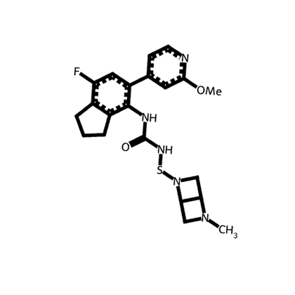 COc1cc(-c2cc(F)c3c(c2NC(=O)NSN2CC4C2CN4C)CCC3)ccn1